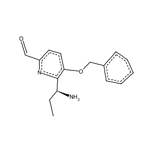 CC[C@H](N)c1nc(C=O)ccc1OCc1ccccc1